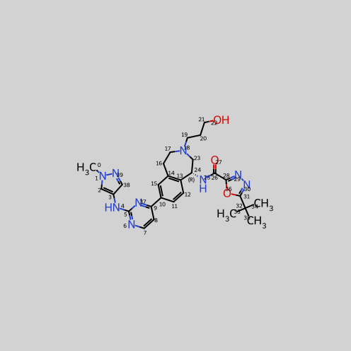 Cn1cc(Nc2nccc(-c3ccc4c(c3)CCN(CCCO)C[C@@H]4NC(=O)c3nnc(C(C)(C)C)o3)n2)cn1